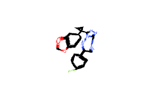 Fc1ccc(-c2cnc3nnc(C4(c5ccc6c(c5)OCO6)C=C4)n3n2)cc1